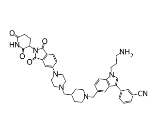 N#Cc1cccc(-c2cn(CCCN)c3ccc(CN4CCC(CN5CCN(c6ccc7c(c6)C(=O)N(C6CCC(=O)NC6=O)C7=O)CC5)CC4)cc23)c1